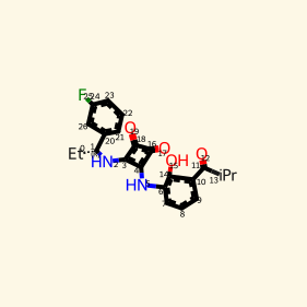 CC[C@@H](Nc1c(Nc2cccc(C(=O)C(C)C)c2O)c(=O)c1=O)c1cccc(F)c1